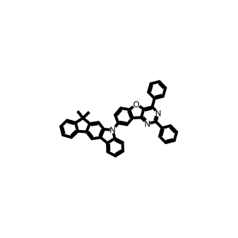 CC1(C)c2ccccc2-c2cc3c4ccccc4n(-c4ccc5oc6c(-c7ccccc7)nc(-c7ccccc7)nc6c5c4)c3cc21